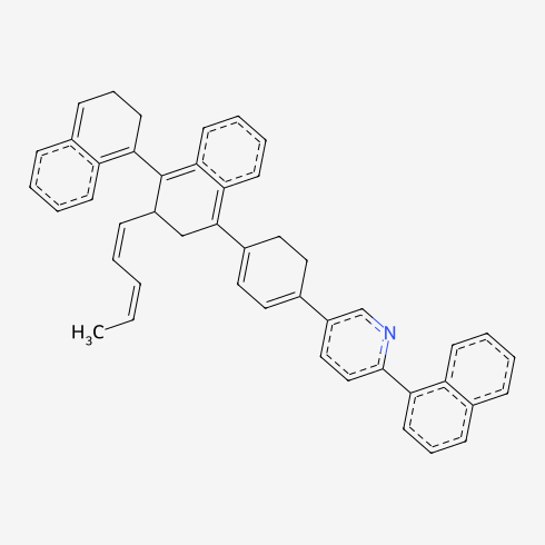 C/C=C\C=C/C1CC(C2=CC=C(c3ccc(-c4cccc5ccccc45)nc3)CC2)=c2ccccc2=C1C1=c2ccccc2=CCC1